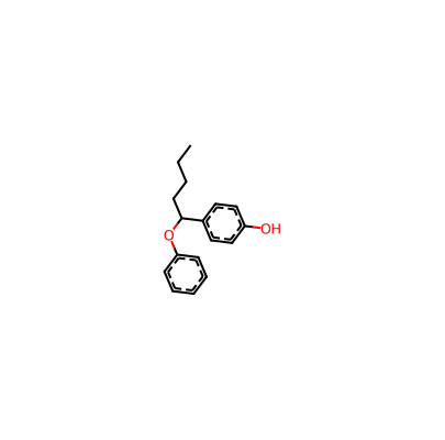 CCCCC(Oc1ccccc1)c1ccc(O)cc1